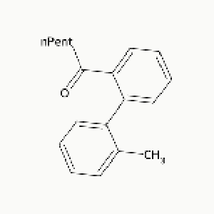 CCCCCC(=O)c1ccccc1-c1ccccc1C